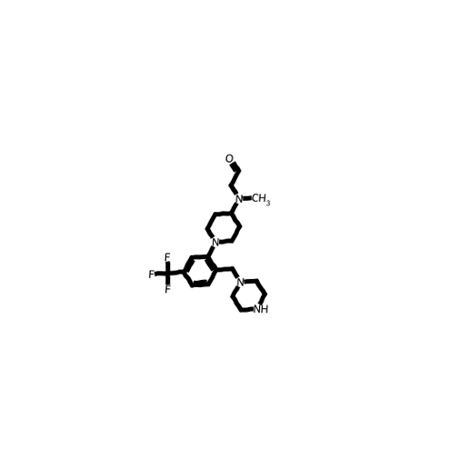 CN(CC=O)C1CCN(c2cc(C(F)(F)F)ccc2CN2CCNCC2)CC1